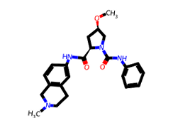 CO[C@@H]1C[C@H](C(=O)Nc2ccc3c(c2)CCN(C)C3)N(C(=O)Nc2ccccc2)C1